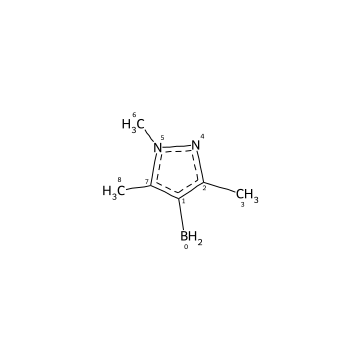 Bc1c(C)nn(C)c1C